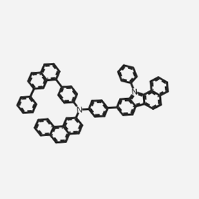 c1ccc(-c2ccc3cccc(-c4ccc(N(c5ccc(-c6ccc7c8ccc9ccccc9c8n(-c8ccccc8)c7c6)cc5)c5ccc6ccc7ccccc7c6c5)cc4)c3c2)cc1